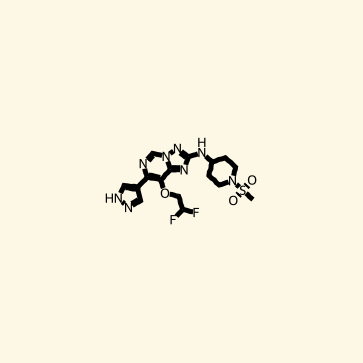 CS(=O)(=O)N1CCC(Nc2nc3c(OCC(F)F)c(-c4cn[nH]c4)ncn3n2)CC1